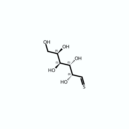 OC[C@@H](O)[C@H](O)[C@H](O)[C@@H](O)C=S